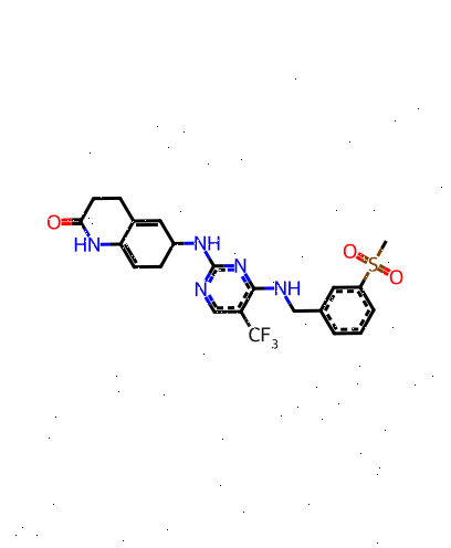 CS(=O)(=O)c1cccc(CNc2nc(NC3C=C4CCC(=O)NC4=CC3)ncc2C(F)(F)F)c1